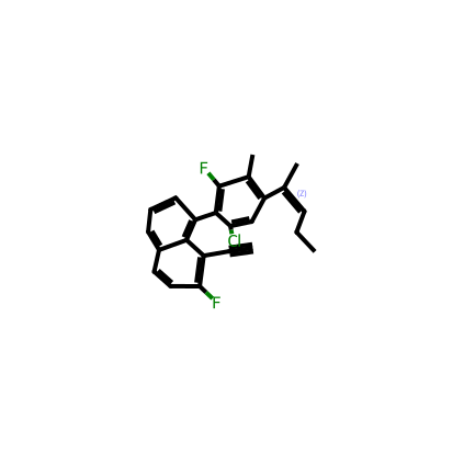 C#Cc1c(F)ccc2cccc(-c3c(Cl)cc(/C(C)=C\CC)c(C)c3F)c12